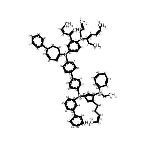 C=CCN(/C(=C/C=C\C)CC)c1ccc(N(C2=CC=CC(c3ccccc3)CC2)c2ccc(-c3ccc(N(C4=C=C(N(CC)C5=CC=CCC=C5)C(CC/C=C\C)=C4)c4cccc(-c5ccccc5)c4)cc3)cc2)cc1C(=C)/C=C\C